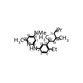 CCc1ccc(Nc2cc(NC)cc(C)n2)cc1C(C)C[C@H](C)CC(C)C